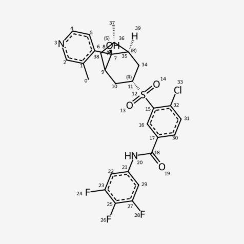 Cc1cnccc1[C@@]1(O)C2C[C@@H](S(=O)(=O)c3cc(C(=O)Nc4cc(F)c(F)c(F)c4)ccc3Cl)C[C@@H]1[C@@H](C)C2